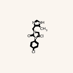 Cc1[nH]cnc1CN1CCN(c2ccc(Cl)cc2)C1=O.Cl